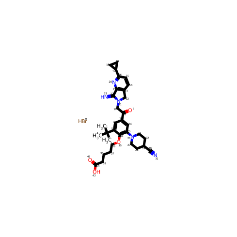 Br.CC(C)(C)c1cc(C(=O)CN2Cc3ccc(C4CC4)nc3C2=N)cc(N2CCC(C#N)CC2)c1OCCCCC(=O)O